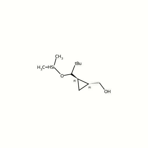 C[SiH](C)OC([C@@H]1C[C@H]1CO)C(C)(C)C